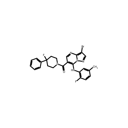 Cc1ccc(F)c(Nc2c(C(=O)N3CCC(F)(c4ccccc4)CC3)cnc3c(Br)cnn23)c1